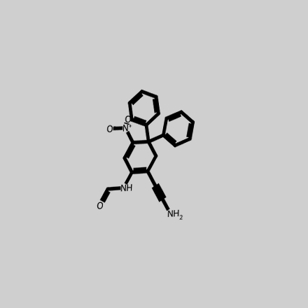 NC#CC1=C(NC=O)C=C([N+](=O)[O-])C(c2ccccc2)(c2ccccc2)C1